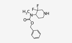 CN(C(=O)OCc1ccccc1)C1CCNCC1(F)F